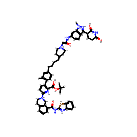 Cc1cc(CCCCC2CCN(CC(=O)Nc3ccc4c(C5CCC(=O)NC5=O)nn(C)c4c3)CC2)ccc1-c1ccc(N2CCc3cccc(C(=O)Nc4nc5ccccc5s4)c3C2)nc1C(=O)OC(C)(C)C